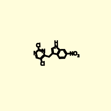 O=[N+]([O-])c1ccc2c(Cc3nc(Cl)ncc3Cl)c[nH]c2c1